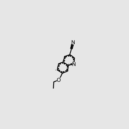 CCOc1[c]cc2cc(C#N)cnc2c1